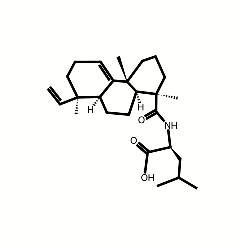 C=C[C@@]1(C)CCC=C2[C@H]1CC[C@@H]1[C@](C)(C(=O)N[C@@H](CC(C)C)C(=O)O)CCC[C@@]21C